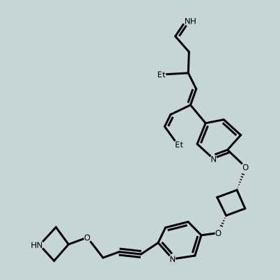 CC/C=C\C(=C/C(CC)CC=N)c1ccc(O[C@H]2C[C@@H](Oc3ccc(C#CCOC4CNC4)nc3)C2)nc1